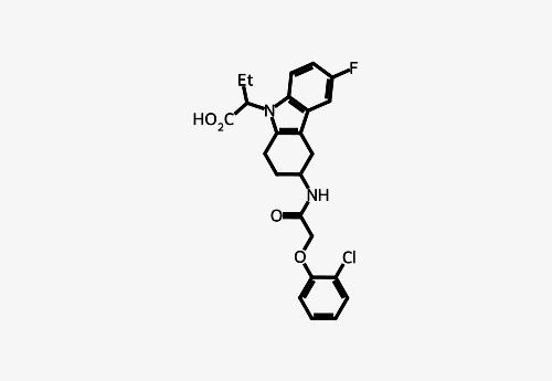 CCC(C(=O)O)n1c2c(c3cc(F)ccc31)CC(NC(=O)COc1ccccc1Cl)CC2